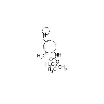 C=C1/C=C\C(CN2CCCCC2)=C/CCCC(NC(=O)OC(C)(C)C)C1